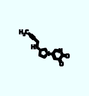 CC#CCN[C@@H]1CCN(C2=CC(=O)C(=O)N=C2)C1